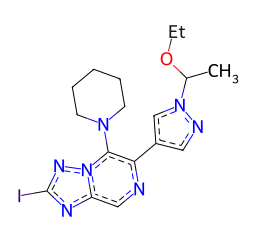 CCOC(C)n1cc(-c2ncc3nc(I)nn3c2N2CCCCC2)cn1